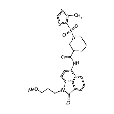 COCCCN1C(=O)c2cccc3c(NC(=O)C4CCCN(S(=O)(=O)c5scnc5C)C4)ccc1c23